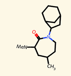 CNC1CC(C)CCN(C2CC3CCCC2C3)C1=O